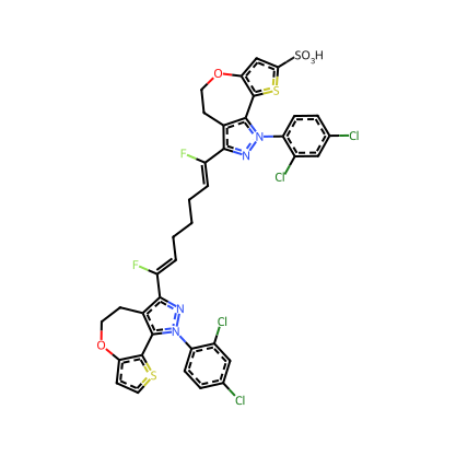 O=S(=O)(O)c1cc2c(s1)-c1c(c(/C(F)=C/CCC/C=C(\F)c3nn(-c4ccc(Cl)cc4Cl)c4c3CCOc3ccsc3-4)nn1-c1ccc(Cl)cc1Cl)CCO2